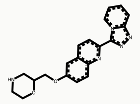 c1ccn2c(-c3ccc4cc(OCC5CNCCO5)ccc4n3)nnc2c1